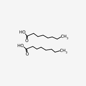 CCCCCCCC(=O)O.CCCCCCCC(=O)O